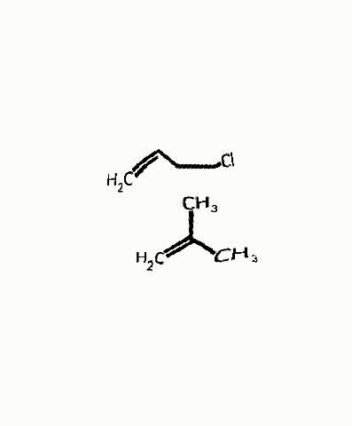 C=C(C)C.C=CCCl